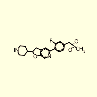 CS(=O)(=O)Cc1ccc(-c2cc3c(cn2)OC(C2CCNCC2)C3)c(F)c1